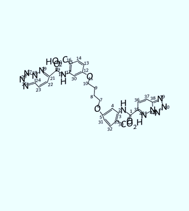 O=C(Nc1cc(OCCCCOc2ccc(C(=O)O)c(NC(=O)c3ccc4nnnn4n3)c2)ccc1C(=O)O)c1ccc2nnnn2n1